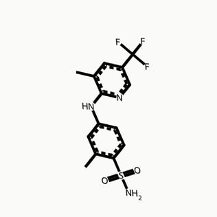 Cc1cc(Nc2ncc(C(F)(F)F)cc2C)ccc1S(N)(=O)=O